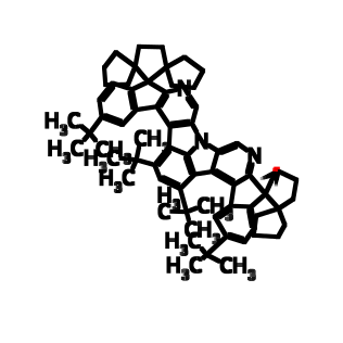 CC(C)(C)c1ccc2c(c1)-c1c(ncc3c1c1c(C(C)(C)C)cc(C(C)(C)C)c4c5c6c(ncc5n3c14)C1(c3ccc(C(C)(C)C)cc3-6)C3(CCCC3)CCC13CCCC3)C21C2(CCCC2)CCC12CCCC2